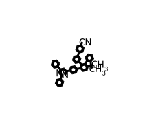 CC1(C)c2ccccc2-c2c1ccc(-c1ccc(-c3cc(-c4ccccc4)nc(-c4ccccc4)n3)cc1)c2-c1cccc(-c2ccc(C#N)cc2)c1